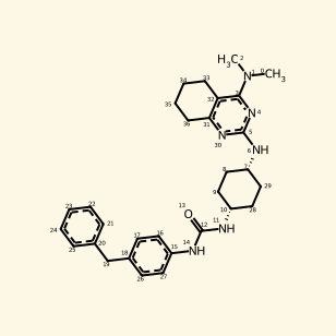 CN(C)c1nc(N[C@H]2CC[C@@H](NC(=O)Nc3ccc(Cc4ccccc4)cc3)CC2)nc2c1CCCC2